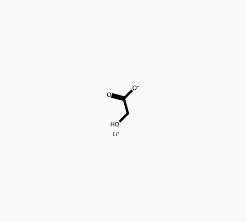 O=C([O-])CO.[Li+]